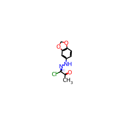 CC(=O)/C(Cl)=N\Nc1ccc2c(c1)OCO2